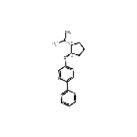 CN(C)[C@@H]1CCC[C@H]1Oc1cnc(-c2ccccn2)cn1